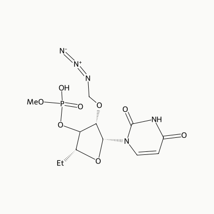 CC[C@H]1O[C@@H](n2ccc(=O)[nH]c2=O)[C@@H](OCN=[N+]=[N-])C1OP(=O)(O)OC